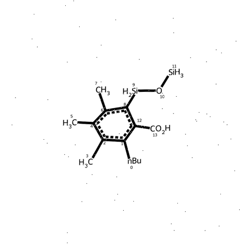 CCCCc1c(C)c(C)c(C)c([SiH2]O[SiH3])c1C(=O)O